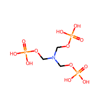 O=P(O)(O)OCN(COP(=O)(O)O)COP(=O)(O)O